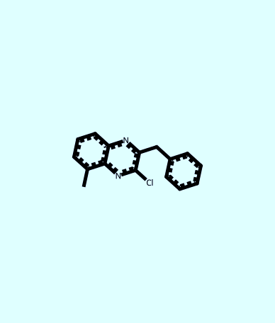 Cc1cccc2nc(Cc3ccccc3)c(Cl)nc12